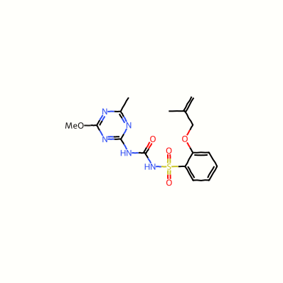 C=C(C)COc1ccccc1S(=O)(=O)NC(=O)Nc1nc(C)nc(OC)n1